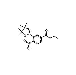 CCOC(=O)c1ccc([N+](=O)[O-])c(B2OC(C)(C)C(C)(C)O2)c1